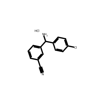 Cl.N#Cc1cccc(C(N)c2ccc(Cl)cc2)c1